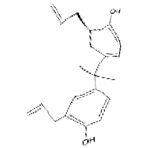 C=CCc1cc(C(C)(C)C2=CC=C(O)[C@H](CC=C)C2)ccc1O